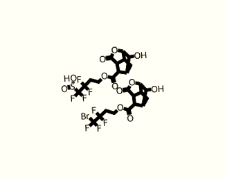 O=C(OCCC(F)(F)C(F)(F)Br)C1C2CC3C(OC(=O)C31)C2O.O=C(OCCC(F)(F)C(F)(F)S(=O)O)C1C2CC3C(OC(=O)C31)C2O